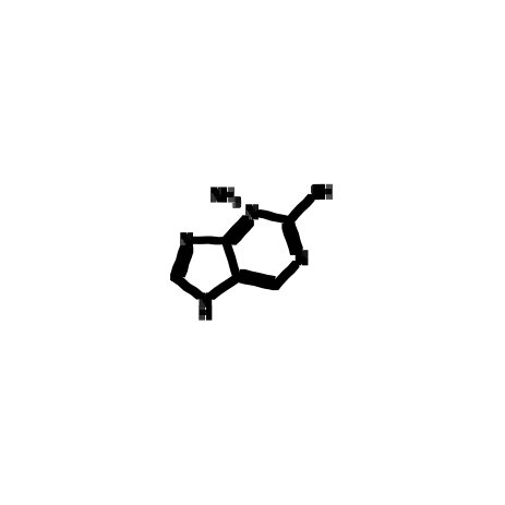 N.Sc1ncc2[nH]cnc2n1